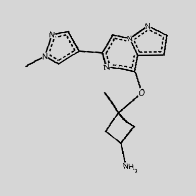 Cn1cc(-c2cn3nccc3c(OC3(C)CC(N)C3)n2)cn1